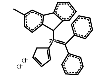 Cc1ccc2c(c1)-c1ccccc1[CH]2[Zr+2]([C]1=CC=CC1)=[C](c1ccccc1)c1ccccc1.[Cl-].[Cl-]